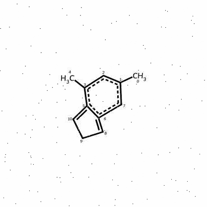 Cc1cc(C)c2c(c1)=CCC=2